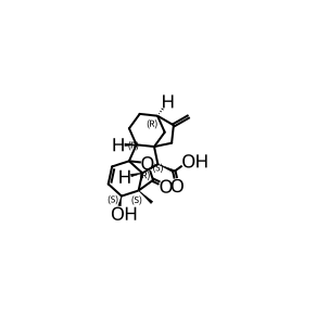 C=C1CC23C[C@H]1CC[C@H]2C12C=C[C@H](O)[C@@](C)(C(=O)O1)[C@H]2[C@@H]3C(=O)O